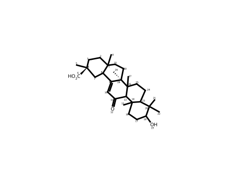 CC12CC[C@](C)(C(=O)O)CC1C1=CC(=O)C3C4(C)CCC(O)C(C)(C)C4CCC3(C)[C@]1(C)CC2